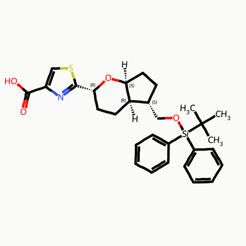 CC(C)(C)[Si](OC[C@H]1CC[C@@H]2O[C@@H](c3nc(C(=O)O)cs3)CC[C@H]12)(c1ccccc1)c1ccccc1